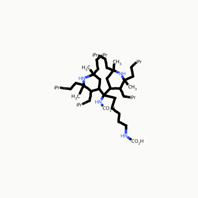 CC(C)CCC1(C)CC(C(CCCCCNC(=O)O)(NC(=O)O)C2CC(C)(CCC(C)C)NC(C)(CCC(C)C)C2CC(C)C)C(CC(C)C)C(C)(CCC(C)C)N1